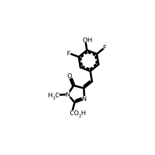 CN1C(=O)/C(=C\c2cc(F)c(O)c(F)c2)N=C1C(=O)O